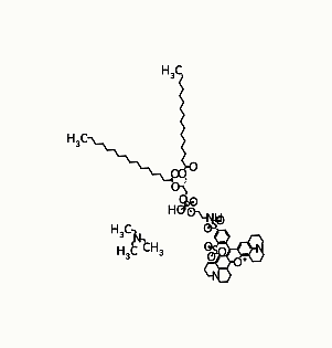 CCCCCCCCCCCCCCCC(=O)OC[C@H](COP(=O)(O)OCCNS(=O)(=O)c1ccc(-c2c3cc4c5c(c3[o+]c3c6c7c(cc23)CCCN7CCC6)CCCN5CCC4)c(S(=O)(=O)[O-])c1)OC(=O)CCCCCCCCCCCCCCC.CCN(CC)CC